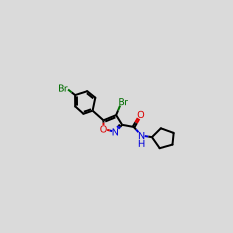 O=C(NC1CCCC1)c1noc(-c2ccc(Br)cc2)c1Br